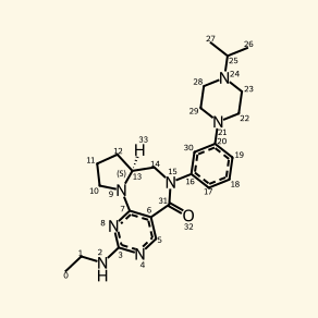 CCNc1ncc2c(n1)N1CCC[C@H]1CN(c1cccc(N3CCN(C(C)C)CC3)c1)C2=O